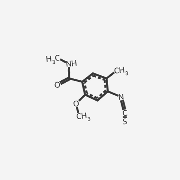 CNC(=O)c1cc(C)c(N=C=S)cc1OC